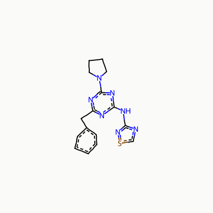 c1ccc(Cc2nc(Nc3ncsn3)nc(N3CCCC3)n2)cc1